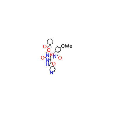 COc1ccc2c(c1)C(=O)N(C[C@@]1(c3cc4cnccc4o3)NC(=O)N(COC(=O)C3(C)CCCCC3)C1=O)C2